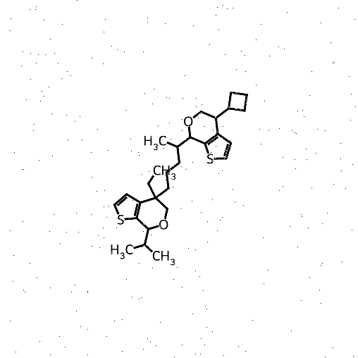 CCC1(CCCC(C)C2OCC(C3CCC3)c3ccsc32)COC(C(C)C)c2sccc21